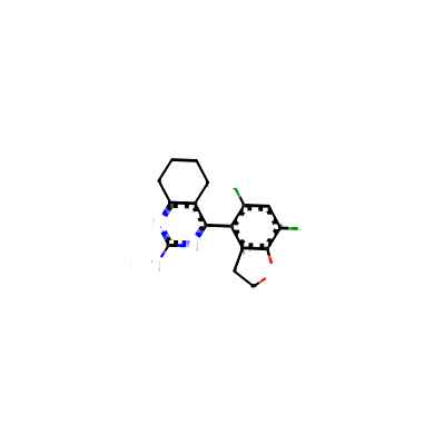 Nc1nc2c(c(-c3c(Cl)cc(Cl)c4c3CCO4)n1)CCCC2